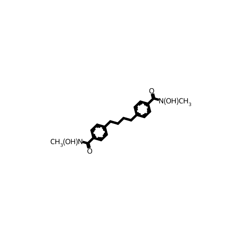 CN(O)C(=O)c1ccc(CCCCc2ccc(C(=O)N(C)O)cc2)cc1